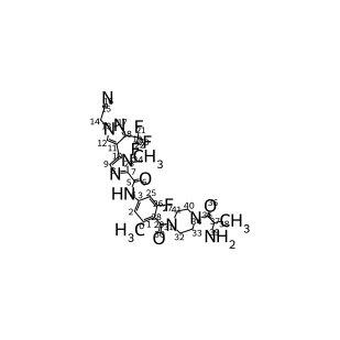 Cc1cc(NC(=O)c2ncc(-c3cn(CC#N)nc3C(F)(F)F)n2C)cc(F)c1C(=O)N1CCN(C(=O)C(C)N)CC1